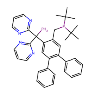 CC(C)(C)P(Cc1cc(-c2ccccc2)c(-c2ccccc2)cc1C(P)(c1ncccn1)c1ncccn1)C(C)(C)C